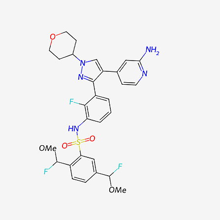 COC(F)c1ccc(C(F)OC)c(S(=O)(=O)Nc2cccc(-c3nn(C4CCOCC4)cc3-c3ccnc(N)c3)c2F)c1